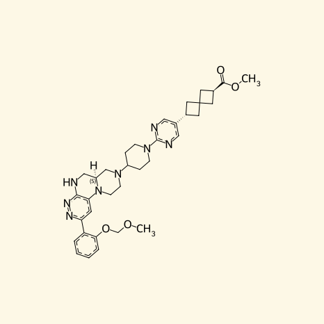 COCOc1ccccc1-c1cc2c(nn1)NC[C@H]1CN(C3CCN(c4ncc([C@H]5CC6(C[C@H](C(=O)OC)C6)C5)cn4)CC3)CCN21